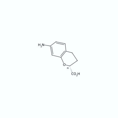 Nc1ccc2c(c1)O[C@@H](C(=O)O)CC2